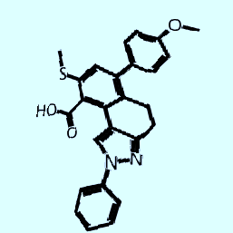 COc1ccc(-c2cc(SC)c(C(=O)O)c3c2CCc2nn(-c4ccccc4)cc2-3)cc1